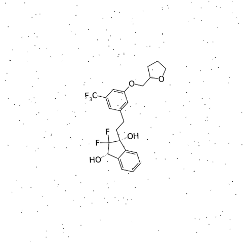 O[C@H]1c2ccccc2[C@](O)(CCc2cc(OCC3CCCO3)cc(C(F)(F)F)c2)C1(F)F